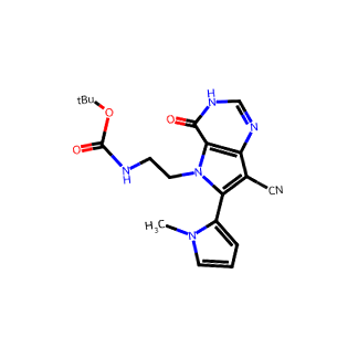 Cn1cccc1-c1c(C#N)c2nc[nH]c(=O)c2n1CCNC(=O)OC(C)(C)C